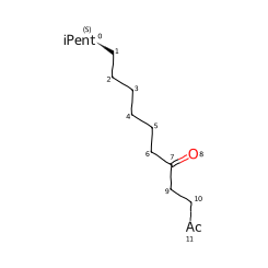 CCC[C@H](C)CCCCCCC(=O)CCC(C)=O